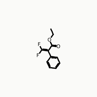 CCOC(=O)C(=C(F)F)c1ccccc1